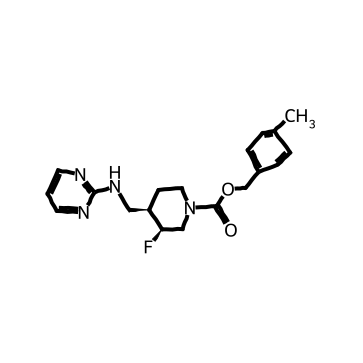 Cc1ccc(COC(=O)N2CC[C@H](CNc3ncccn3)[C@H](F)C2)cc1